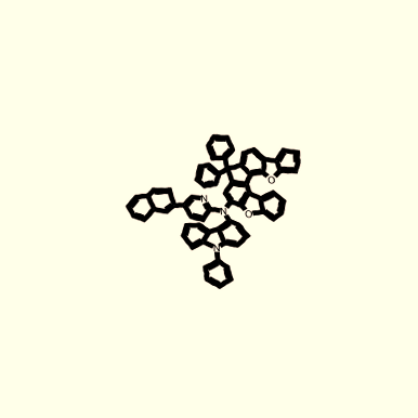 C1=CC2C=CC(c3ccc(N(c4cc5c(c6c4oc4ccccc46)-c4c(ccc6c4oc4ccccc46)C5(c4ccccc4)c4ccccc4)c4cccc5c4c4ccccc4n5-c4ccccc4)nc3)=CC2C=C1